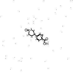 O=C(O)c1ccc(C2CC[S+]([O-])CC2)cn1